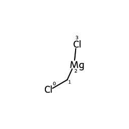 Cl[CH2][Mg][Cl]